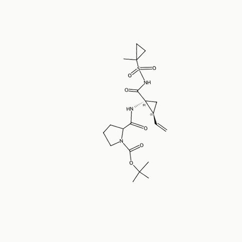 C=C[C@@H]1C[C@]1(NC(=O)C1CCCN1C(=O)OC(C)(C)C)C(=O)NS(=O)(=O)C1(C)CC1